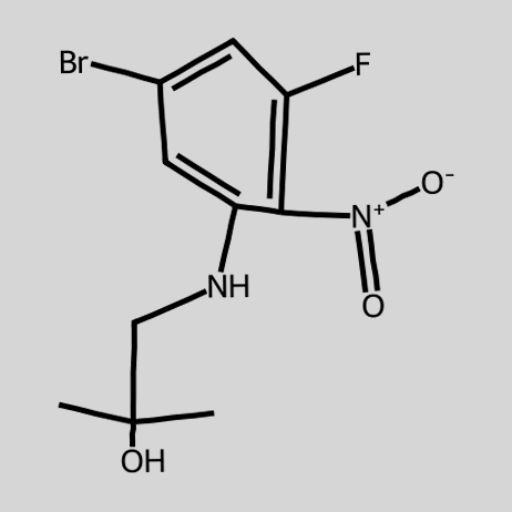 CC(C)(O)CNc1cc(Br)cc(F)c1[N+](=O)[O-]